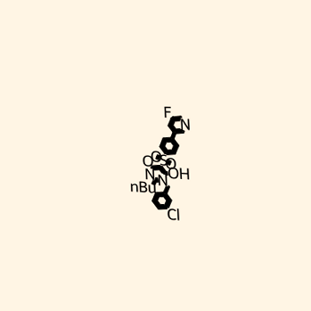 CCCCc1nc(=O)c(S(=O)(=O)c2ccc(-c3cncc(F)c3)cc2)c(O)n1Cc1cccc(Cl)c1